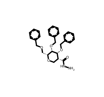 NNC(=O)[C@@H]1CO[C@H](COCc2ccccc2)[C@H](OCc2ccccc2)[C@@H]1OCc1ccccc1